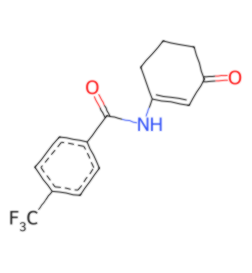 O=C1C=C(NC(=O)c2ccc(C(F)(F)F)cc2)CCC1